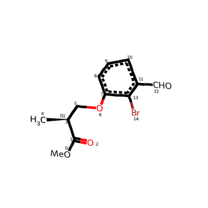 COC(=O)[C@@H](C)COc1cccc(C=O)c1Br